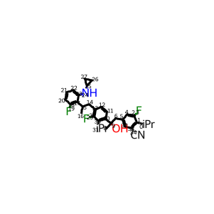 CC(C)c1c(F)cc(CC(C)(O)c2ccc(CC(C)c3c(F)cccc3NC3CC3)c(F)c2C(C)C)cc1C#N